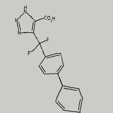 O=C(O)c1[nH]nnc1C(F)(F)c1ccc(-c2ccc(Cl)cc2)cc1